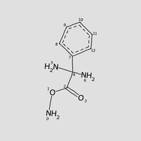 NOC(=O)C(N)(N)c1ccccc1